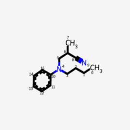 CCCCN(CC(C)C#N)c1ccccc1